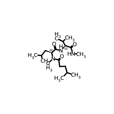 CNC(=O)[C@@H](NC(=O)[C@H](CC(C)C)N(C)C(=O)CCC(C)C)C(C)C